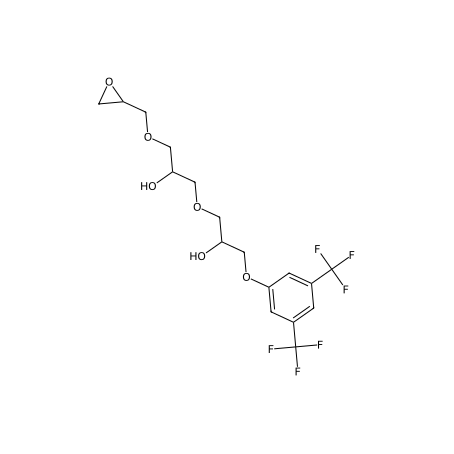 OC(COCC(O)COc1cc(C(F)(F)F)cc(C(F)(F)F)c1)COCC1CO1